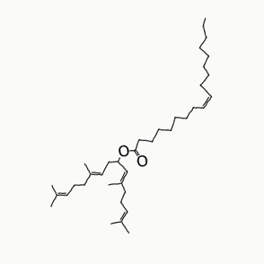 CCCCCCCC/C=C\CCCCCCCC(=O)OC(/C=C(\C)CCC=C(C)C)C/C=C(\C)CCC=C(C)C